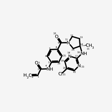 C=CC(=O)Nc1ccc(C(=O)N2CC[C@@](C)(Nc3ncc(Cl)cn3)C2)cc1